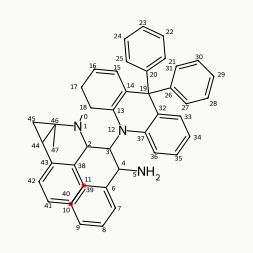 CN1C(C(C(N)c2ccccc2)N2C3=C(C=CCC3)C(c3ccccc3)(c3ccccc3)c3ccccc32)c2ccccc2C2CC21C